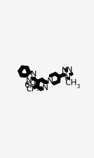 Cn1cnnc1C1CCN(c2cc(-c3nc4ccccc4n3C)c(Cl)cn2)CC1